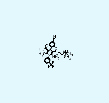 CC1=C(C(=O)O)C(c2ccc(C#N)cc2)C(C(=O)OCC[Si](C)(C)C)=C(N)N1c1cccc(C(F)(F)F)c1